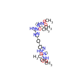 COC(=O)N[C@H](C(=O)N1CCC[C@H]1c1nc(-c2ncc(-c3ccc(-c4ccc5[nH]c([C@@H]6CCCN6C(=O)[C@@H](NC(=O)OC)C(C)C)nc5c4)cc3)cn2)c[nH]1)C(C)C